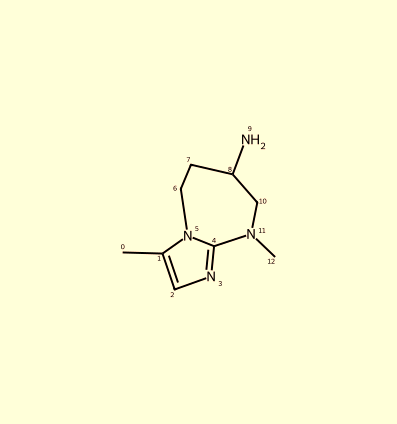 Cc1cnc2n1CCC(N)CN2C